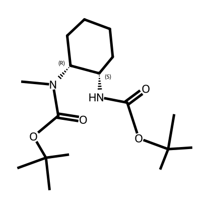 CN(C(=O)OC(C)(C)C)[C@@H]1CCCC[C@@H]1NC(=O)OC(C)(C)C